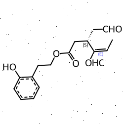 C/C=C(/C=O)[C@@H](CC=O)CC(=O)OCCc1ccccc1O